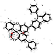 c1ccc(-n2c3ccccc3c3ccc(-c4ccc5c(c4)Oc4ccccc4C54c5ccccc5Oc5cc(-c6ccncc6)ccc54)cc32)cc1